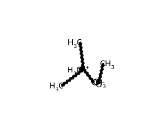 CCCCCCCCCCC(=O)[O-].CCCCCCCCCCCCCC[N+](CC)(CCCCCCCCC)CCCCCCCCCCCCCC